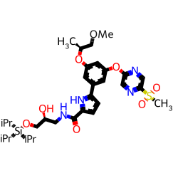 COC[C@H](C)Oc1cc(Oc2cnc(S(C)(=O)=O)cn2)cc(-c2ccc(C(=O)NC[C@H](O)CO[Si](C(C)C)(C(C)C)C(C)C)[nH]2)c1